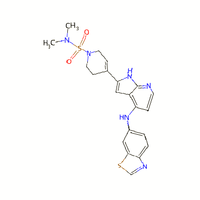 CN(C)S(=O)(=O)N1CC=C(c2cc3c(Nc4ccc5ncsc5c4)ccnc3[nH]2)CC1